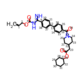 C=CCOC(=O)NC(=N)c1ccc(-c2ccc(C(=O)N3CCC(CC(=O)OC4CCCCC4)CC3)cc2)cc1